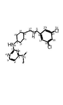 CN(C)c1ccnc(NC2CCC(CNCc3cc(Cl)cc(Cl)c3)CC2)n1